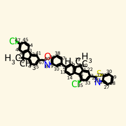 CC1(C)c2ccc(-c3nc4cc(-c5ccc6c(c5)C(C)(C)c5cc(-c7nc8ccccc8s7)cc(Cl)c5-6)ccc4o3)cc2-c2ccc(Cl)cc21